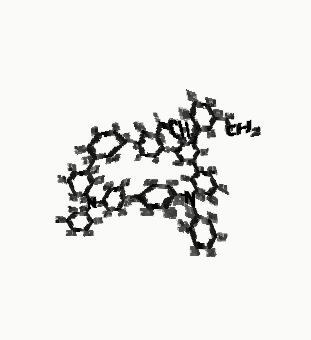 C=Cc1cccc(-c2cccc(-c3cccc(N(c4ccccc4)c4ccc(-c5ccc(N(c6ccccc6)c6cccc(-c7cccc(-c8cccc(C=C)c8)c7)c6)cc5)cc4)c3)c2)c1